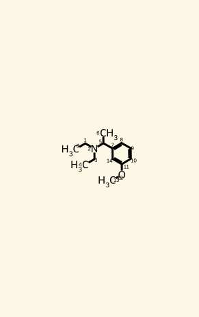 CCN(CC)C(C)c1cccc(OC)c1